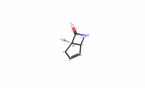 O=C1NC2C=CC[C@@H]12